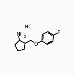 Cl.NC1CCCC1COc1ccc(F)cc1